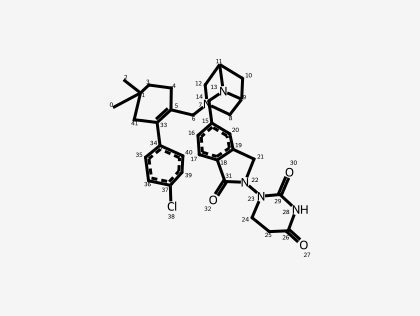 CC1(C)CCC(CN2CC3CC(C2)N3Cc2ccc3c(c2)CN(N2CCC(=O)NC2=O)C3=O)=C(c2ccc(Cl)cc2)C1